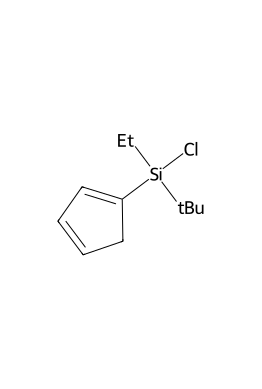 CC[Si](Cl)(C1=CC=CC1)C(C)(C)C